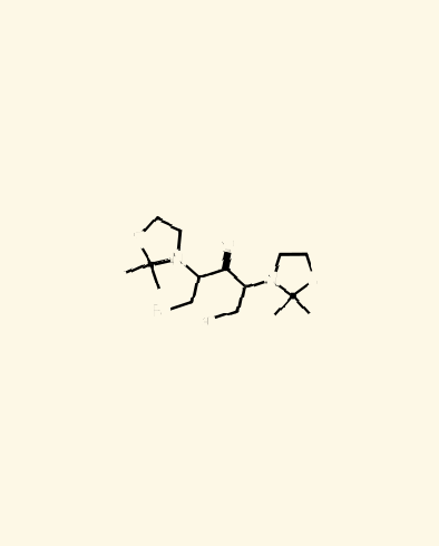 CC1(C)SCCN1C(CBr)C(=O)C(CBr)N1CCSC1(C)C